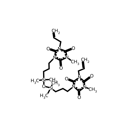 C=CCn1c(=O)n(C)c(=O)n(CCC[Si](C)(C)O[Si](C)(C)CCCn2c(=O)n(C)c(=O)n(CC=C)c2=O)c1=O